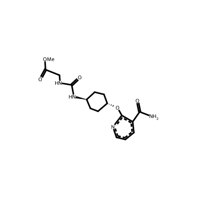 COC(=O)CNC(=O)N[C@H]1CC[C@H](Oc2ncccc2C(N)=O)CC1